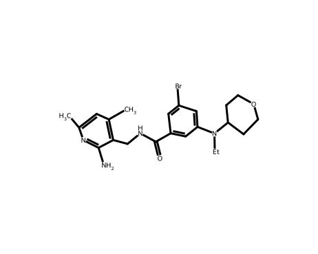 CCN(c1cc(Br)cc(C(=O)NCc2c(C)cc(C)nc2N)c1)C1CCOCC1